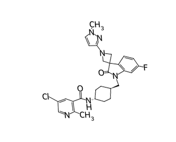 Cc1ncc(Cl)cc1C(=O)N[C@H]1CC[C@H](CN2C(=O)C3(CN(c4ccn(C)n4)C3)c3ccc(F)cc32)CC1